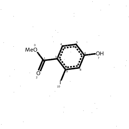 COC(=O)c1ccc(O)cc1I